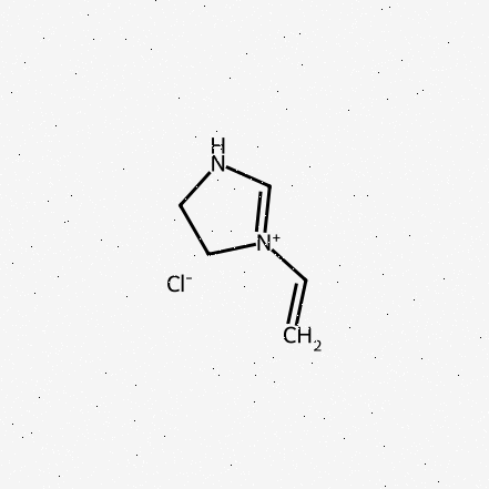 C=C[N+]1=CNCC1.[Cl-]